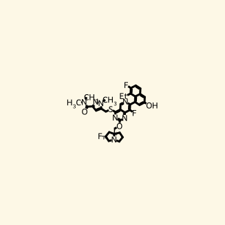 CCc1c(F)ccc2cc(O)cc(-c3ncc4c(SCc5cc(C(=O)N(C)C)nn5C)nc(OC[C@@]56CCCN5C[C@H](F)C6)nc4c3F)c12